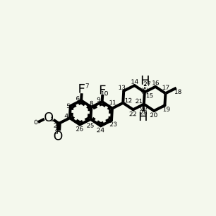 COC(=O)c1cc(F)c2c(F)c(C3CC[C@H]4CC(C)CC[C@@H]4C3)ccc2c1